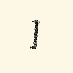 CNCCOCCOCCOCCOCCOCCOCCOCCOCCOCCOCCC(=O)O